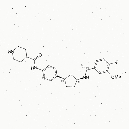 COc1cc([C@@H](C)N[C@H]2CC[C@@H](c3ccc(NC(=O)C4CCNCC4)nc3)C2)ccc1F